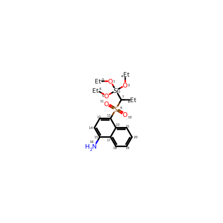 CCO[Si](OCC)(OCC)C(CC)S(=O)(=O)c1ccc(N)c2ccccc12